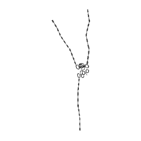 C#CC#CC#CC#CC#CC#CC#CC#CC#CC#CC#COC(=O)CC(CC(=O)OC#CC#CC#CC#CC#CC#CC#CC#CC#CC#CC#C)(OC(C)=O)C(=O)OC#CC#CC#CC#CC#CC#CC#CC#CC#CC#CC#C